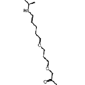 CC(=O)COCCCOCCCCCNC(C)C